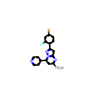 O=C(O)c1cc(-c2ccncc2)n2nc(-c3ccc(Br)cc3F)cc2n1